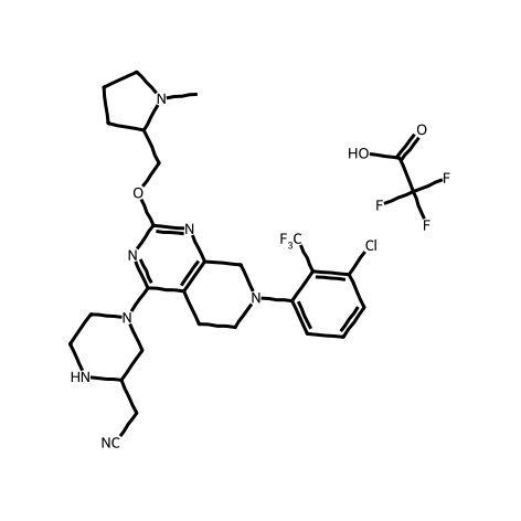 CN1CCCC1COc1nc2c(c(N3CCNC(CC#N)C3)n1)CCN(c1cccc(Cl)c1C(F)(F)F)C2.O=C(O)C(F)(F)F